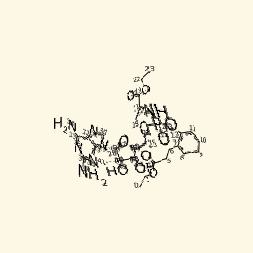 CCOC(=O)CCc1ccccc1OP(=O)(N[C@@H](C)C(=O)OCC)OC[C@@H]1O[C@@H](n2cnc3c(N)nc(N)nc32)[C@](C)(O)[C@@H]1O